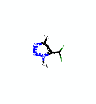 [2H]c1nnn(C)c1C(F)F